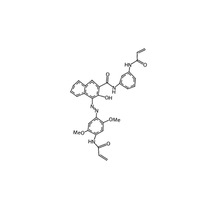 C=CC(=O)Nc1cccc(NC(=O)c2cc3ccccc3c(/N=N/c3cc(OC)c(NC(=O)C=C)cc3OC)c2O)c1